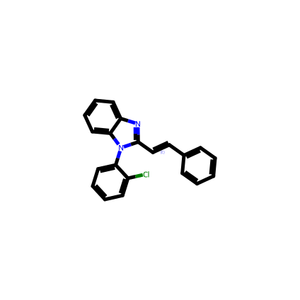 Clc1ccccc1-n1c(/C=C/c2ccccc2)nc2ccccc21